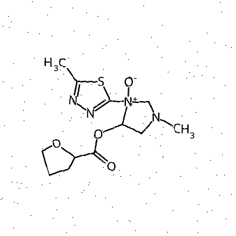 Cc1nnc([N+]2([O-])CN(C)CC2OC(=O)C2CCCO2)s1